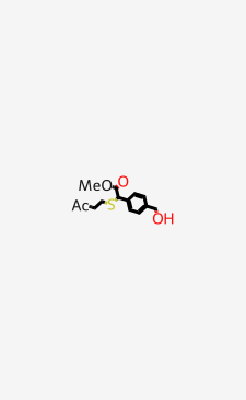 COC(=O)C(SCCC(C)=O)c1ccc(CO)cc1